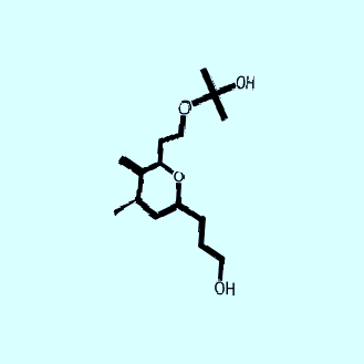 C=C1C(CCOC(C)(C)O)OC(CCCO)C[C@H]1C